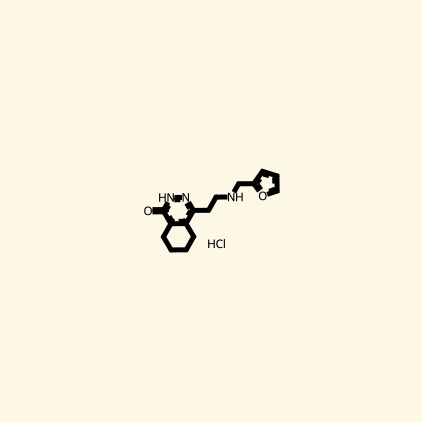 Cl.O=c1[nH]nc(CCNCc2ccco2)c2c1CCCC2